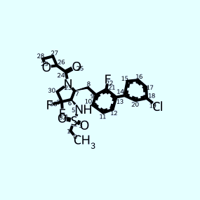 CCS(=O)(=O)N[C@@H]1[C@H](Cc2cccc(-c3cccc(Cl)c3)c2F)N(C(=O)C2CCO2)CC1(F)F